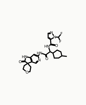 CC1CCC(C(NC(=O)c2ccnn2C(F)F)C(=O)Nc2cc3c(cn2)C2(CCOCC2)C(=O)N3)CC1